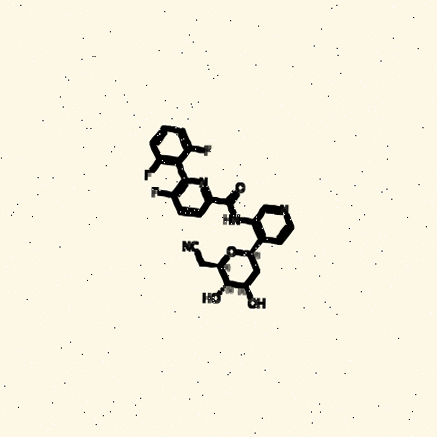 N#CC[C@H]1O[C@@H](c2ccncc2NC(=O)c2ccc(F)c(-c3c(F)cccc3F)n2)C[C@@H](O)[C@@H]1O